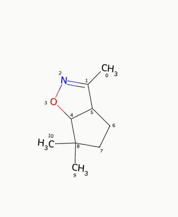 CC1=NOC2C1CCC2(C)C